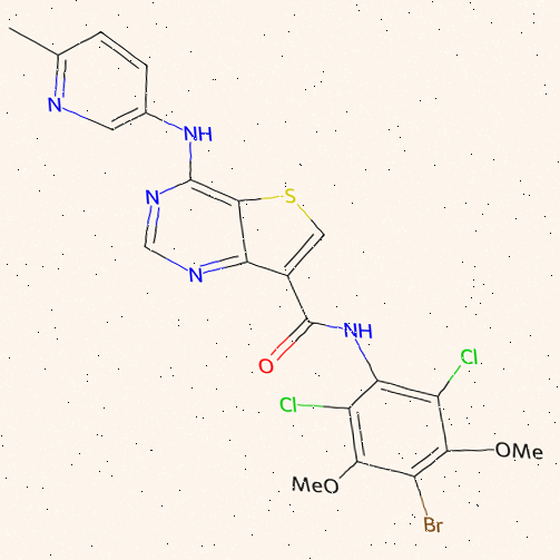 COc1c(Cl)c(NC(=O)c2csc3c(Nc4ccc(C)nc4)ncnc23)c(Cl)c(OC)c1Br